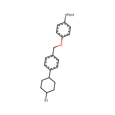 CCCCCc1ccc(OCc2ccc(C3CCC(CC)CC3)cc2)cc1